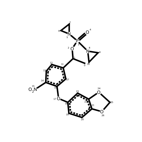 CC(OP(=O)(N1CC1)N1CC1)c1ccc([N+](=O)[O-])c(Oc2ccc3c(c2)OCO3)c1